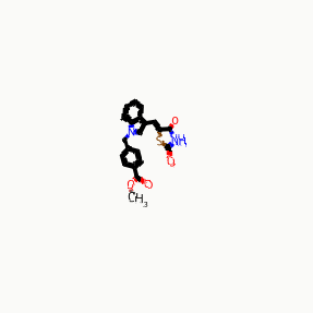 COC(=O)c1ccc(Cn2cc(/C=C3\SC(=O)NC3=O)c3ccccc32)cc1